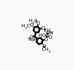 COc1ccc(C(=O)c2cc(OC)c(OC)c(OC)c2)cc1OP(=O)(O)O.[NaH]